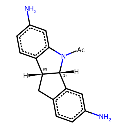 CC(=O)N1c2cc(N)ccc2[C@H]2Cc3ccc(N)cc3[C@H]21